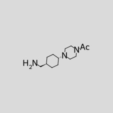 CC(=O)N1CCN([C@H]2CC[C@H](CN)CC2)CC1